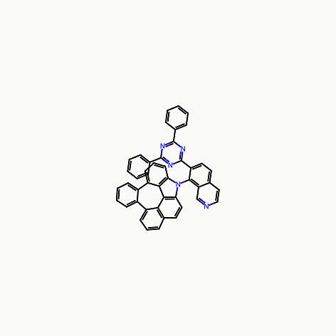 c1ccc(-c2nc(-c3ccccc3)nc(-c3ccc4ccncc4c3-n3c4cccc5c4c4c6c(cccc6ccc43)-c3ccccc3-5)n2)cc1